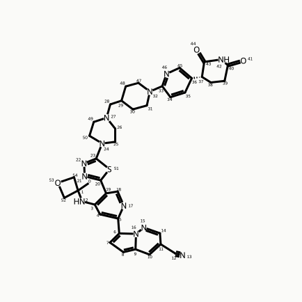 CC1(Nc2cc(-c3ccc4cc(C#N)cnn34)ncc2-c2nnc(N3CCN(CC4CCN(c5ccc([C@H]6CCC(=O)NC6=O)cn5)CC4)CC3)s2)COC1